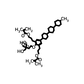 C=C(C)C(=O)OCCCc1cc(C2CCC(C3CCC(C4CCC(C)CC4)CC3)CC2)cc(CCCOC(=O)C(=C)C)c1OCCC(CC)(CO)CO